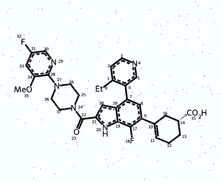 CCc1ccncc1-c1cc(C2=CCC[C@@H](C(=O)O)C2)c(F)c2[nH]c(C(=O)N3CCN(c4ncc(F)cc4OC)CC3)cc12